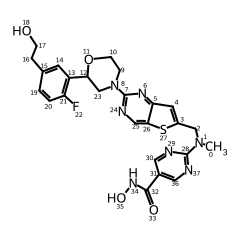 CN(Cc1cc2nc(N3CCOC(c4cc(CCO)ccc4F)C3)ncc2s1)c1ncc(C(=O)NO)cn1